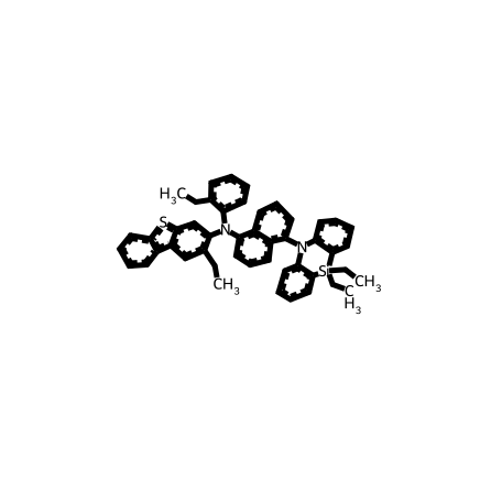 CCc1ccccc1N(c1cc2sc3ccccc3c2cc1CC)c1cccc2c(N3c4ccccc4[Si](CC)(CC)c4ccccc43)cccc12